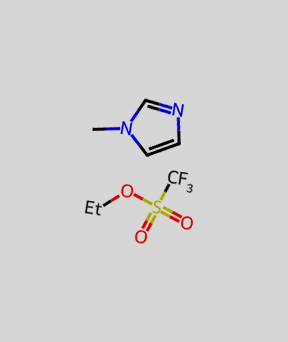 CCOS(=O)(=O)C(F)(F)F.Cn1ccnc1